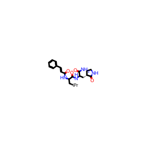 CC(C)CC(NC(=O)/C=C/c1ccccc1)C(=O)NC(C[C@@H]1CCNC1=O)C(N)=O